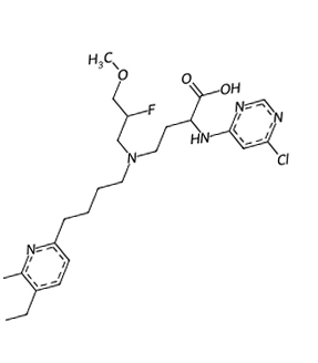 COCC(F)CN(CCCCc1ccc2c(n1)NCCC2)CCC(Nc1cc(Cl)ncn1)C(=O)O